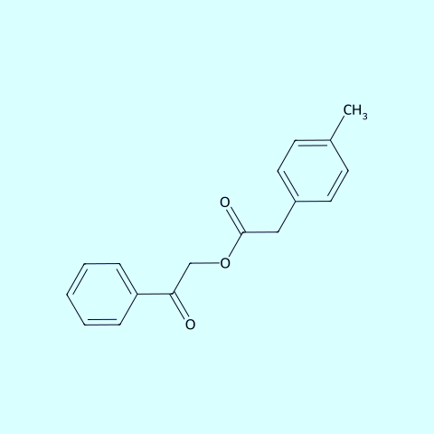 Cc1ccc(CC(=O)OCC(=O)c2ccccc2)cc1